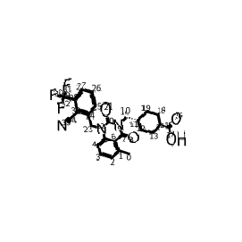 Cc1cccc2c1c(=O)n(C[C@H]1CC[C@H](C(=O)O)CC1)c(=O)n2Cc1cccc(C(F)(F)F)c1C#N